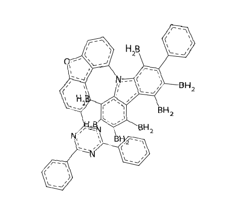 Bc1c(B)c(B)c2c(c1B)c1c(B)c(B)c(-c3ccccc3)c(B)c1n2-c1cccc2oc3ccc(-c4nc(-c5ccccc5)nc(-c5ccccc5)n4)cc3c12